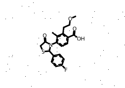 COCCc1c(C(=O)O)ccc(N2C(=O)CSC2c2ccc(F)cc2)c1C